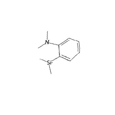 CN(C)c1ccccc1[Si](C)C